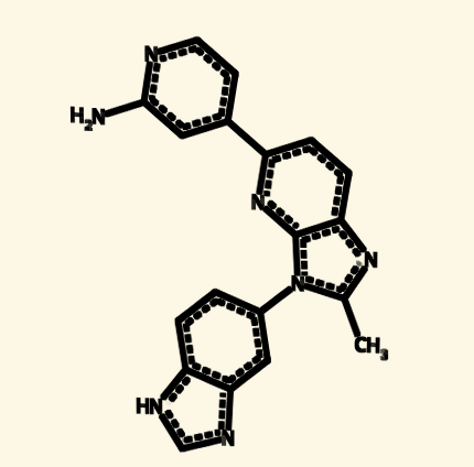 Cc1nc2ccc(-c3ccnc(N)c3)nc2n1-c1ccc2[nH]cnc2c1